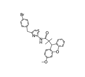 COc1ccc2c(c1)Oc1ccccc1C2C(C)(C)C(=O)Nc1nc(Cc2ccc(Br)cc2)cs1